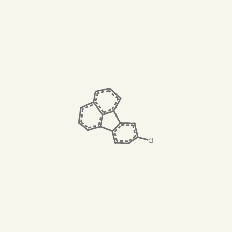 Clc1ccc2c(c1)-c1cccc3cccc-2c13